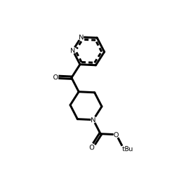 CC(C)(C)OC(=O)N1CCC(C(=O)c2cccnn2)CC1